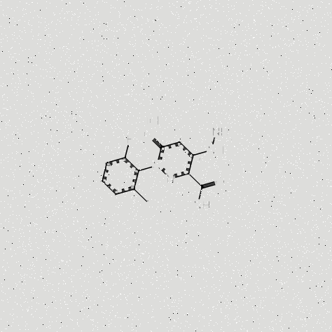 Cc1cccc(F)c1-n1nc(C(N)=O)c(NN)cc1=O.Cl